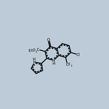 CCOC(=O)c1c(-c2ccc[nH]2)[nH]c2c(C(F)(F)F)c(Cl)ccc2c1=O